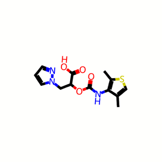 Cc1csc(C)c1NC(=O)OC(Cn1cccn1)C(=O)O